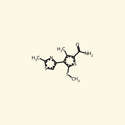 CSc1sc(C(N)=O)c(C)c1-c1csc(C)n1